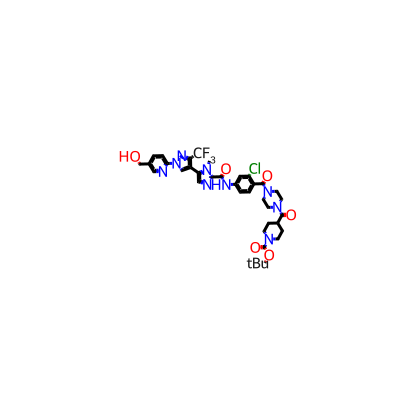 Cn1c(-c2cn(-c3ccc(CO)cn3)nc2C(F)(F)F)cnc1C(=O)Nc1ccc(C(=O)N2CCN(C(=O)C3CCN(C(=O)OC(C)(C)C)CC3)CC2)c(Cl)c1